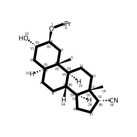 CC(C)O[C@H]1C[C@@]2(C)[C@@H](CC[C@@H]3[C@@H]2CC[C@]2(C)[C@H](C#N)CC[C@@H]32)C[C@@H]1O